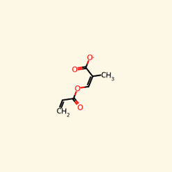 C=CC(=O)OC=C(C)C([O])=O